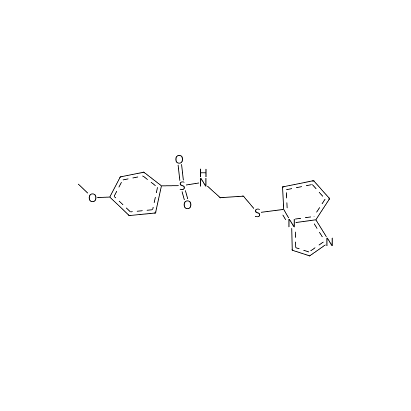 COc1ccc(S(=O)(=O)NCCSc2cccc3nccn23)cc1